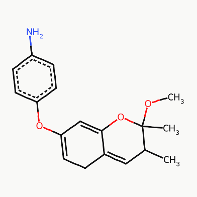 COC1(C)OC2=CC(Oc3ccc(N)cc3)=CCC2=CC1C